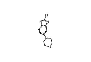 Clc1nc2ccc(N3CCOCC3)cn2n1